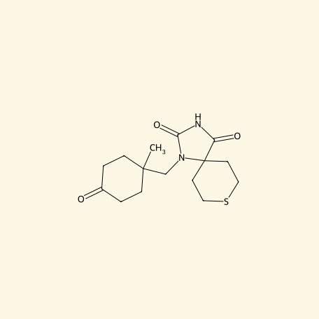 CC1(CN2C(=O)NC(=O)C23CCSCC3)CCC(=O)CC1